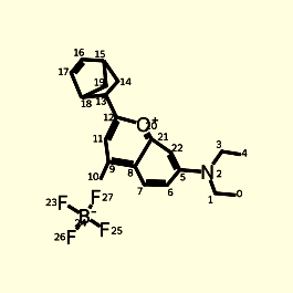 CCN(CC)c1ccc2c(C)cc(C3CC4C=CC3C4)[o+]c2c1.F[B-](F)(F)F